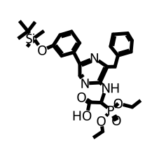 CCOP(=O)(OCC)C(Nc1ncc(-c2cccc(O[Si](C)(C)C(C)(C)C)c2)nc1Cc1ccccc1)C(=O)O